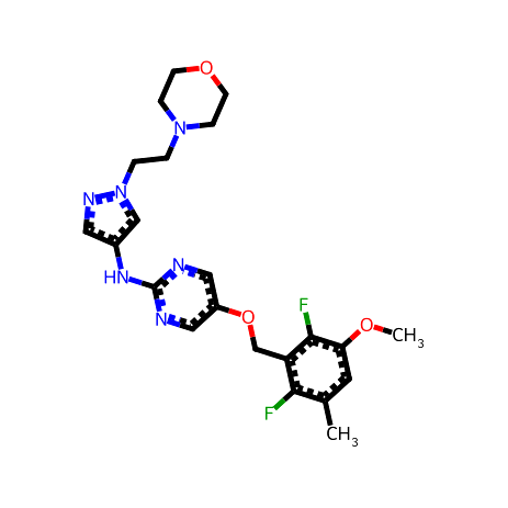 COc1cc(C)c(F)c(COc2cnc(Nc3cnn(CCN4CCOCC4)c3)nc2)c1F